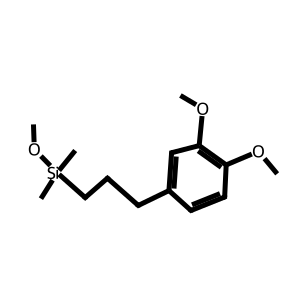 COc1ccc(CCC[Si](C)(C)OC)cc1OC